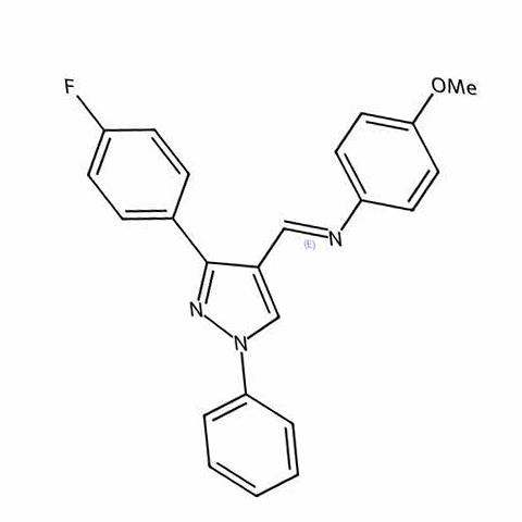 COc1ccc(/N=C/c2cn(-c3ccccc3)nc2-c2ccc(F)cc2)cc1